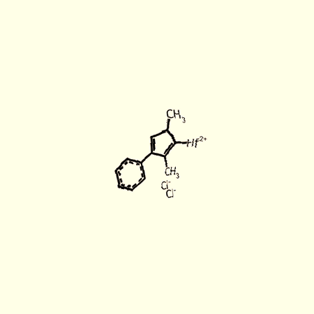 CC1=[C]([Hf+2])C(C)C=C1c1ccccc1.[Cl-].[Cl-]